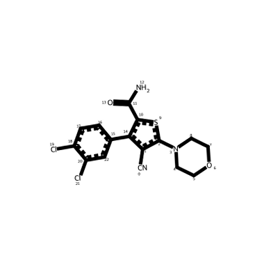 N#Cc1c(N2CCOCC2)sc(C(N)=O)c1-c1ccc(Cl)c(Cl)c1